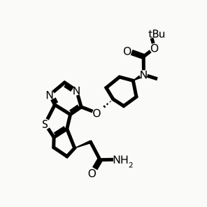 CN(C(=O)OC(C)(C)C)[C@H]1CC[C@H](Oc2ncnc3sc4c(c23)[C@@H](CC(N)=O)CC4)CC1